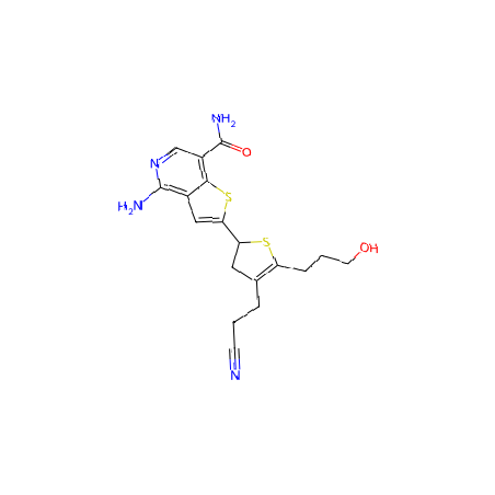 N#CCCC1=C(CCCO)SC(c2cc3c(N)ncc(C(N)=O)c3s2)C1